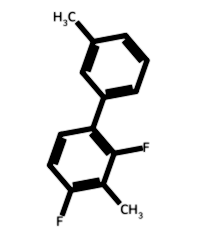 Cc1cccc(-c2ccc(F)c(C)c2F)c1